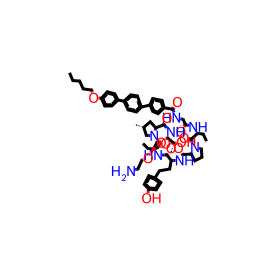 CCCCCOc1ccc(-c2ccc(-c3ccc(C(=O)NCC(=O)NC(CC)C(=O)N4CCCC4C(=O)NC(CCc4ccc(O)cc4)C(=O)NC(CC)C(=O)N4C[C@H](C)CC4C(=O)NC(OCCOCCN)[C@@H](C)O)cc3)cc2)cc1